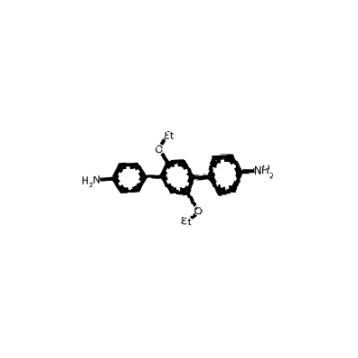 CCOc1cc(-c2ccc(N)cc2)c(OCC)cc1-c1ccc(N)cc1